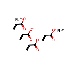 C=CC(=O)[O-].C=CC(=O)[O-].C=CC(=O)[O-].C=CC(=O)[O-].[Pb+2].[Pb+2]